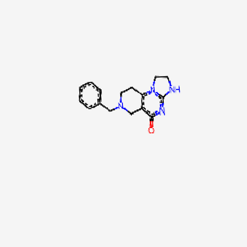 O=c1nc2n(c3c1CN(Cc1ccccc1)CC3)CCN2